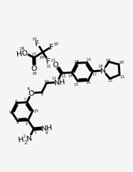 N=C(N)c1cccc(OCCNC(=O)c2ccc(N3CCCC3)cc2)c1.O=C(O)C(F)(F)F